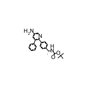 C[C@@H](NC(=O)OC(C)(C)C)c1ccc(-c2ncc(N)cc2-c2ccccc2)cc1